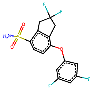 NS(=O)(=O)c1ccc(Oc2cc(F)cc(F)c2)c2c1CC(F)(F)C2